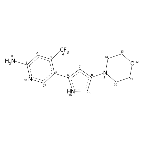 Nc1cc(C(F)(F)F)c(-c2cc(N3CCOCC3)c[nH]2)cn1